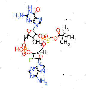 CC1C2OP(=O)(SCOC(=O)C(C)(C)C)OC[C@H]3O[C@@H](n4cnc5c(N)ncnc54)C(F)C3OP(=O)(O)OC[C@H]1OC2n1cnc2c(=O)[nH]c(N)nc21